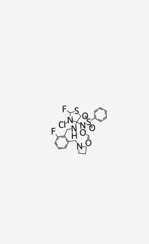 O=CON(C1(NCc2c(F)cccc2CN2CCC2)CSC(F)N1Cl)S(=O)(=O)c1ccccc1